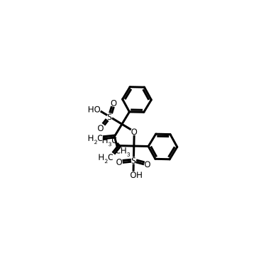 C=C(C)C(OC(C(=C)C)(c1ccccc1)S(=O)(=O)O)(c1ccccc1)S(=O)(=O)O